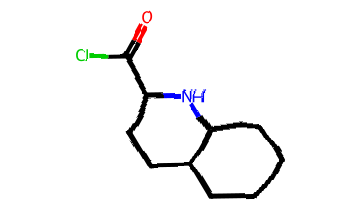 O=C(Cl)C1CCC2CCCCC2N1